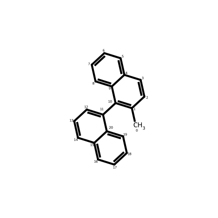 Cc1ccc2ccccc2c1-c1cccc2ccccc12